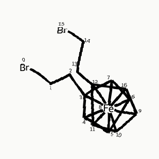 BrCC[C]12[CH]3[CH]4[CH]5[CH]1[Fe]45321678[CH]2[CH]1[CH]6[C]7(CCBr)[CH]28